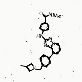 CNC(=O)c1ccc(Nc2nc3c(-c4ccc(CN5CC(C)C5)cc4)cccn3n2)cc1